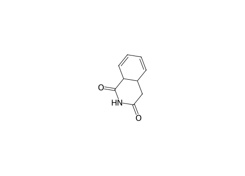 O=C1CC2C=CC=CC2C(=O)N1